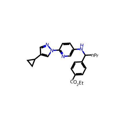 CCCC(Nc1ccc(-n2cc(C3CC3)cn2)nc1)c1ccc(C(=O)OCC)cc1